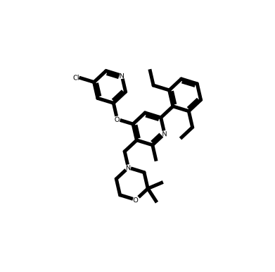 CCc1cccc(CC)c1-c1cc(Oc2cncc(Cl)c2)c(CN2CCOC(C)(C)C2)c(C)n1